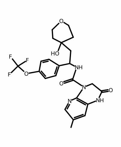 Cc1cnc2c(c1)NC(=O)CN2C(=O)NC(CC1(O)CCOCC1)c1ccc(OC(F)(F)F)cc1